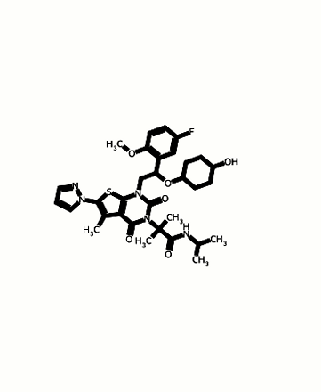 COc1ccc(F)cc1C(Cn1c(=O)n(C(C)(C)C(=O)NC(C)C)c(=O)c2c(C)c(-n3cccn3)sc21)OC1CCC(O)CC1